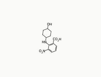 O=C(O)c1cccc([N+](=O)[O-])c1NC1CCC(O)CC1